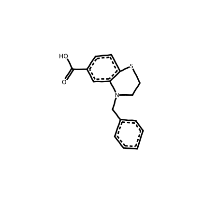 O=C(O)c1ccc2c(c1)N(Cc1ccccc1)CCS2